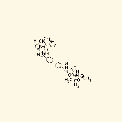 COC(=O)N[C@H](C(=O)N1CCC[C@H]1c1ncc(-c2ccc([C@H]3CC[C@H](c4cnc([C@@H]5CCCN5C(=O)[C@@H](c5ccccc5)N(C)C)[nH]4)CC3)cc2)[nH]1)C(C)C